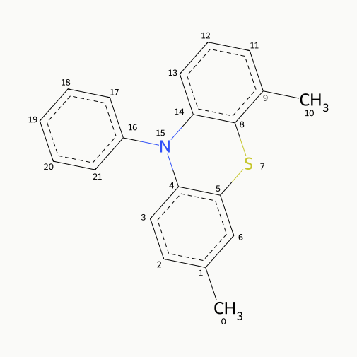 Cc1ccc2c(c1)Sc1c(C)cccc1N2c1ccccc1